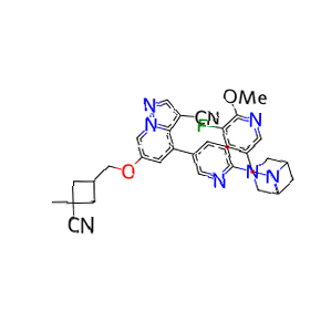 COc1ncc(CN2C3CC2CN(c2ccc(-c4cc(OCC5CC(C)(C#N)C5)cn5ncc(C#N)c45)cn2)C3)cc1F